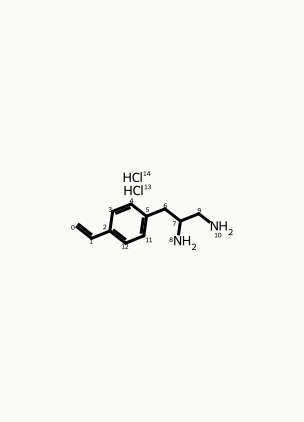 C=Cc1ccc(CC(N)CN)cc1.Cl.Cl